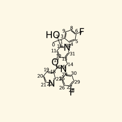 CC(O)(c1ccc(F)cc1)c1ccc(CN(C(=O)c2cccnc2)c2ccc(F)cc2)cn1